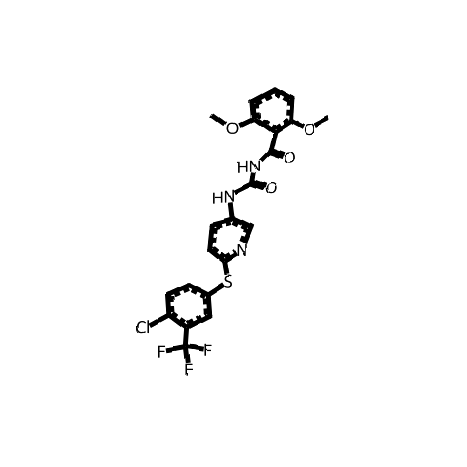 COc1cccc(OC)c1C(=O)NC(=O)Nc1ccc(Sc2ccc(Cl)c(C(F)(F)F)c2)nc1